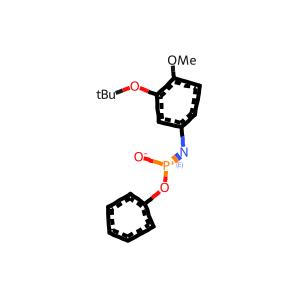 COc1ccc(/N=[P+](\[O-])Oc2ccccc2)cc1OC(C)(C)C